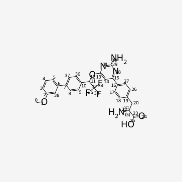 COc1cccc(-c2ccc(C(Oc3cc(-c4ccc(C[C@H](N)C(=O)O)cc4)nc(N)n3)C(F)(F)F)cc2)c1